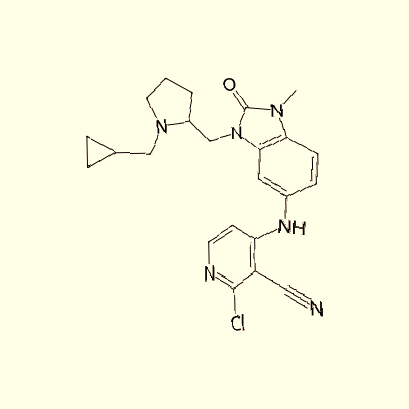 Cn1c(=O)n(CC2CCCN2CC2CC2)c2cc(Nc3ccnc(Cl)c3C#N)ccc21